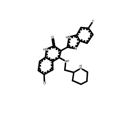 O=c1[nH]c2ccc(Cl)cc2c(NCC2CCCCN2)c1-c1nc2ccc(F)cc2[nH]1